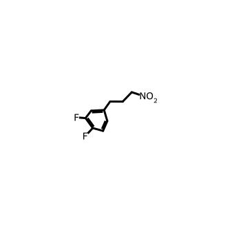 O=[N+]([O-])CCCc1ccc(F)c(F)c1